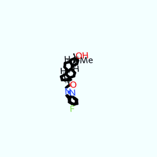 COC[C@]12CC[C@@](C)(O)C[C@@H]1CC[C@H]1[C@@H]3CC[C@H](C(=O)Cn4cc5cc(F)ccc5n4)C3(C)CC[C@@H]12